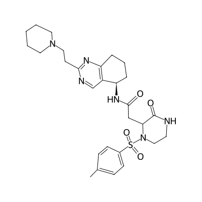 Cc1ccc(S(=O)(=O)N2CCNC(=O)C2CC(=O)N[C@@H]2CCCc3nc(CCN4CCCCC4)ncc32)cc1